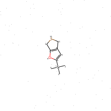 C[Si](C)(C)c1cc2c(o1)CSC2